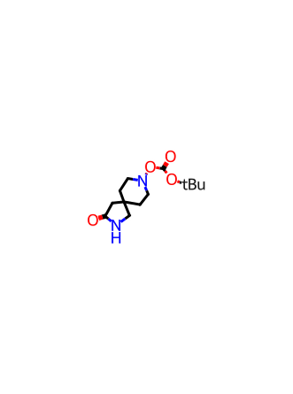 CC(C)(C)OC(=O)ON1CCC2(CC1)CNC(=O)C2